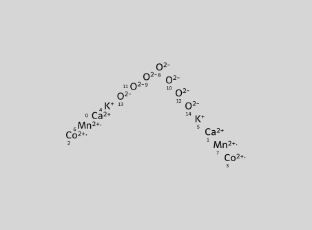 [Ca+2].[Ca+2].[Co+2].[Co+2].[K+].[K+].[Mn+2].[Mn+2].[O-2].[O-2].[O-2].[O-2].[O-2].[O-2].[O-2]